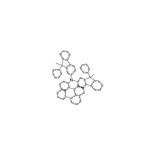 CC1(c2ccccc2)c2ccccc2-c2ccc(N(c3ccc4c(c3)C(C)(c3ccccc3)c3ccccc3-4)c3ccccc3-c3cccc4cccc(-c5ccccc5)c34)cc21